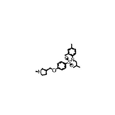 Cc1ccc(N(CC(C)C)S(=O)(=O)c2ccc(OCC3CCN(C)C3)cc2)c(C)c1